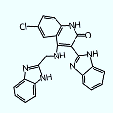 O=c1[nH]c2ccc(Cl)cc2c(NCc2nc3ccccc3[nH]2)c1-c1nc2ccccc2[nH]1